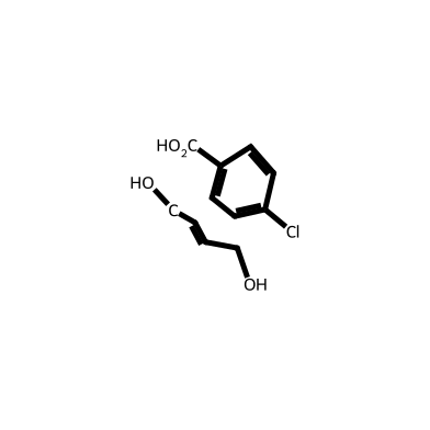 O=C(O)c1ccc(Cl)cc1.OCC=CCO